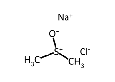 C[S+](C)[O-].[Cl-].[Na+]